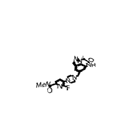 CNC(=O)c1ccc(N2CCN(Cc3cc4c5c(cnn5[C@H](C)C(=O)N4)c3)CC2)c(F)n1